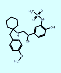 COc1ccc(CC2(NCC(O)c3ccc(O)c(NS(C)(=O)=O)c3)CCCCC2)cc1